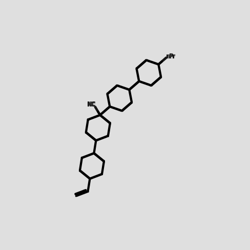 C=CC1CCC(C2CCC(C#N)(C3CCC(C4CCC(CCC)CC4)CC3)CC2)CC1